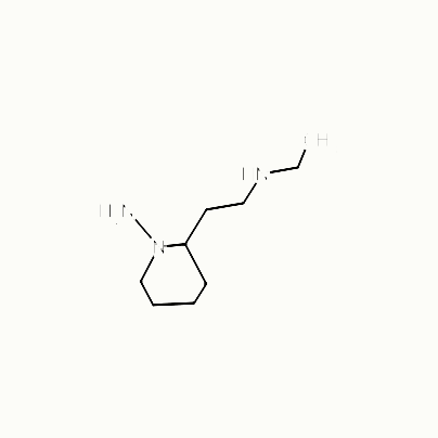 CCNCCC1CCCCN1N